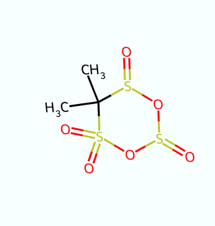 CC1(C)S(=O)OS(=O)OS1(=O)=O